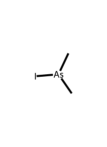 C[As](C)I